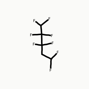 F[C](F)CC(F)(F)C(F)(F)C(F)F